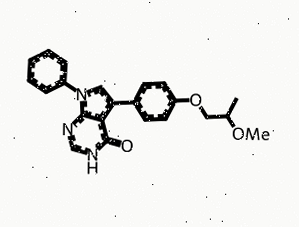 COC(C)COc1ccc(-c2cn(-c3ccccc3)c3nc[nH]c(=O)c23)cc1